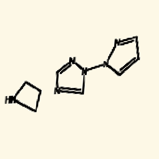 C1CNC1.c1cnn(-n2cncn2)c1